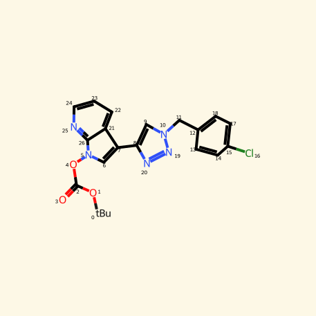 CC(C)(C)OC(=O)On1cc(-c2cn(Cc3ccc(Cl)cc3)nn2)c2cccnc21